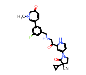 CN1C=C(c2cc(F)cc(CNCC(=O)C3C=C(N4CCC(C#N)(C5CC5)C4=O)C=CN3)c2)C=CC(=O)C1